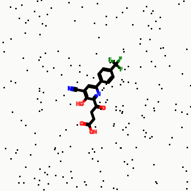 N#Cc1cc(-c2ccc(C(F)(F)F)cc2)nc(C(=O)CCC(=O)O)c1O